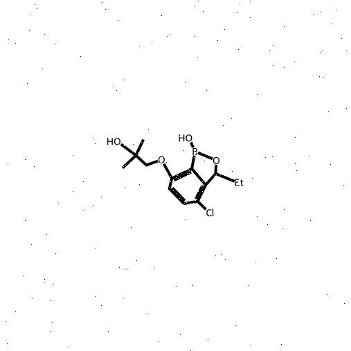 CCC1OB(O)c2c(OCC(C)(C)O)ccc(Cl)c21